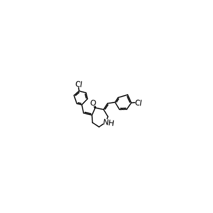 O=C1C(=Cc2ccc(Cl)cc2)CCNCC1=Cc1ccc(Cl)cc1